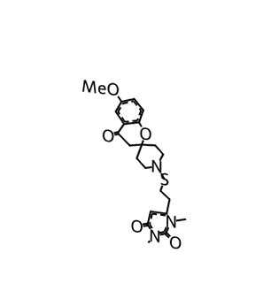 COc1ccc2c(c1)C(=O)CC1(CCN(SCCc3cc(=O)n(C)c(=O)n3C)CC1)O2